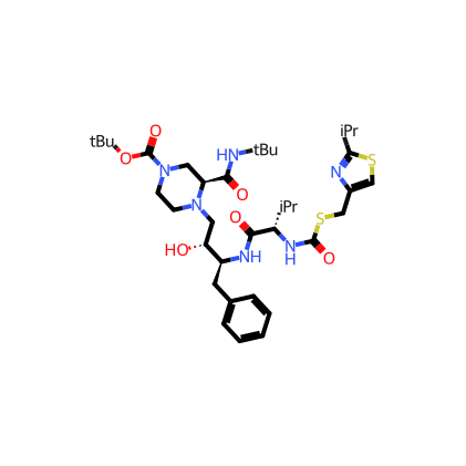 CC(C)c1nc(CSC(=O)N[C@H](C(=O)N[C@@H](Cc2ccccc2)[C@H](O)CN2CCN(C(=O)OC(C)(C)C)C[C@H]2C(=O)NC(C)(C)C)C(C)C)cs1